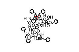 N[C@@H]1C[C@H](NC(=O)OCc2ccccc2)[C@@H](O[C@H]2O[C@H](CN(CCO)C(=O)OCc3ccccc3)[C@@H](O)C[C@H]2NC(=O)OCc2ccccc2)[C@H](O[C@@H]2O[C@H](CO)[C@@H](O[C@H]3O[C@H]4CN(C(=O)OCc5ccccc5)C(c5ccccc5)O[C@H]4[C@H](O)[C@H]3NC(=O)OCc3ccccc3)[C@H]2O)[C@H]1O